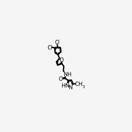 Cc1cc(C(=O)NCCc2ccc(-c3ccc(Cl)c(Cl)c3)o2)[nH]n1